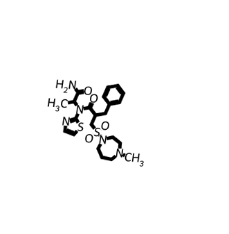 CC(C(N)=O)N(C(=O)C(Cc1ccccc1)CS(=O)(=O)N1CCCN(C)CC1)c1nccs1